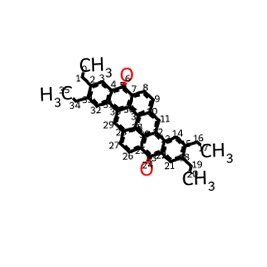 CCc1cc2c(=O)c3ccc4cc5c6cc(CC)c(CC)cc6c(=O)c6ccc7cc(c2cc1CC)c3c4c7c65